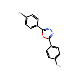 CC(C)c1ccc(-c2nnc(-c3ccc(C(C)(C)C)cc3)o2)cc1